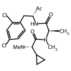 CN[C@H](C(=O)N(C)[C@H](C)C(=O)N[C@H](Cc1ccc(Cl)cc1Cl)C(C)=O)C1CC1